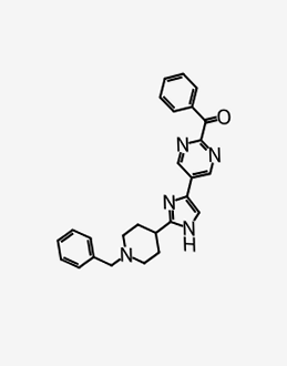 O=C(c1ccccc1)c1ncc(-c2c[nH]c(C3CCN(Cc4ccccc4)CC3)n2)cn1